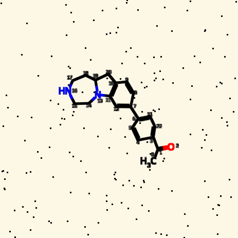 CC(=O)c1ccc(-c2ccc3c(c2)N2CCNCCC2C3)cc1